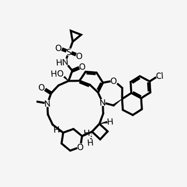 CN1CC[C@@H]2CCO[C@@H](C2)[C@@H]2CC[C@H]2CN2C[C@@]3(CCCc4cc(Cl)ccc43)COc3ccc(cc32)[C@@](O)(C(=O)NS(=O)(=O)C2CC2)CC1=O